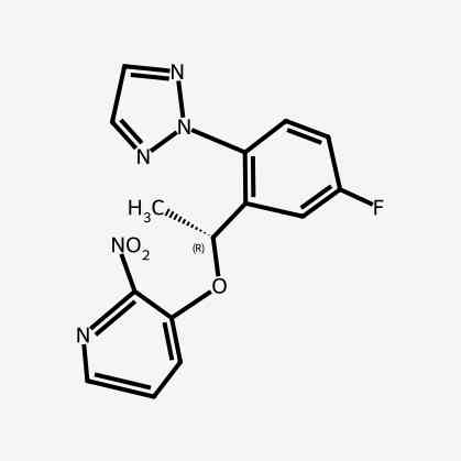 C[C@@H](Oc1cccnc1[N+](=O)[O-])c1cc(F)ccc1-n1nccn1